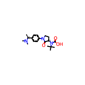 C[C@@H](c1ccc(N2CC[C@H](N(C(=O)O)C(C)(C)C)C2=O)cc1)N(C)C